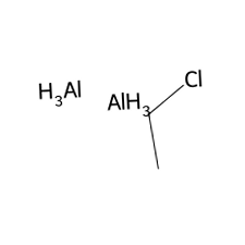 CCCl.[AlH3].[AlH3]